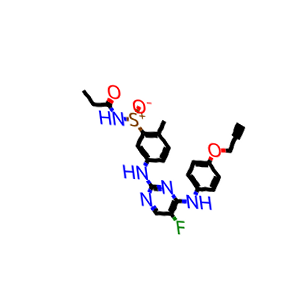 C#CCOc1ccc(Nc2nc(Nc3ccc(C)c([S+]([O-])NC(=O)CC)c3)ncc2F)cc1